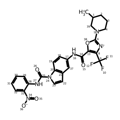 CC1CCCN(c2nc(C(F)(F)F)c(C(=O)Nc3ccc4c(ccn4C(=O)Nc4ccccc4[N+](=O)[O-])c3)o2)C1